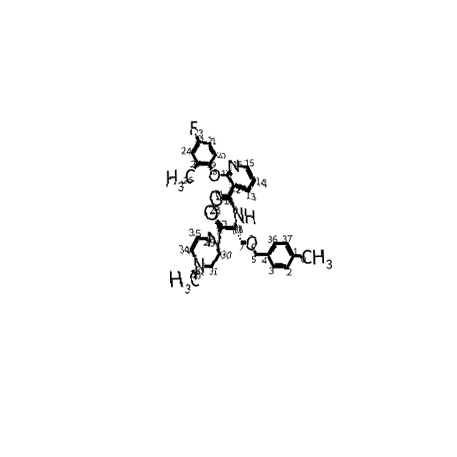 Cc1ccc(COC[C@@H](NC(=O)c2cccnc2Oc2ccc(F)cc2C)C(=O)N2CCN(C)CC2)cc1